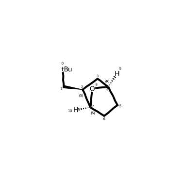 CC(C)(C)C[C@H]1C[C@H]2CC[C@@H]1O2